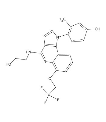 Cc1cc(O)ccc1-n1ccc2c(NCCO)nc3c(OCC(F)(F)F)cccc3c21